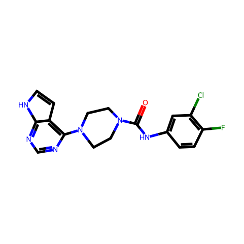 O=C(Nc1ccc(F)c(Cl)c1)N1CCN(c2ncnc3[nH]ccc23)CC1